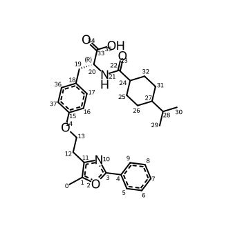 Cc1oc(-c2ccccc2)nc1CCOc1ccc(C[C@@H](NC(=O)C2CCC(C(C)C)CC2)C(=O)O)cc1